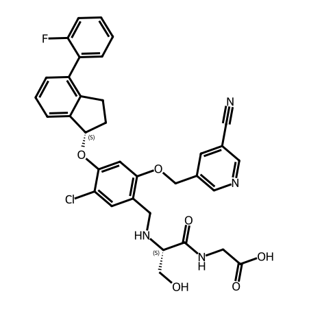 N#Cc1cncc(COc2cc(O[C@H]3CCc4c(-c5ccccc5F)cccc43)c(Cl)cc2CN[C@@H](CO)C(=O)NCC(=O)O)c1